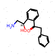 NC[C@H](O)c1ccccc1C(=O)Cc1ccccc1